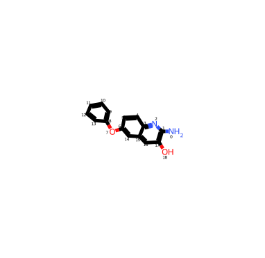 Nc1nc2ccc(Oc3ccccc3)cc2cc1O